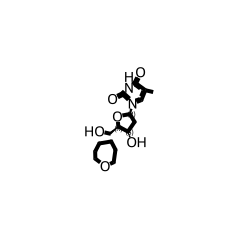 C1CCCOCC1.Cc1cn([C@H]2C[C@H](O)[C@@H](CO)O2)c(=O)[nH]c1=O